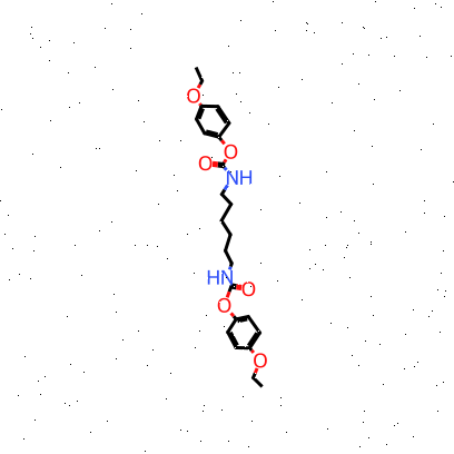 CCOc1ccc(OC(=O)NCCCCCCNC(=O)Oc2ccc(OCC)cc2)cc1